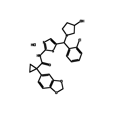 Cl.O=C(Nc1ncc(C(c2ccccc2Cl)N2CCC(O)C2)s1)C1(c2ccc3c(c2)OCO3)CC1